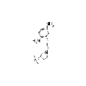 C[N+](C)(C)C1CCN(CCCc2cc(N)ccc2N)C1